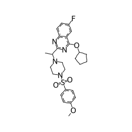 COc1ccc(S(=O)(=O)N2CCN(C(C)c3nc(OC4CCCC4)c4cc(F)ccc4n3)CC2)cc1